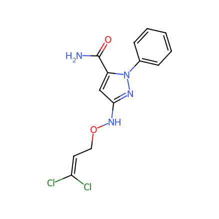 NC(=O)c1cc(NOCC=C(Cl)Cl)nn1-c1ccccc1